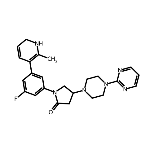 CC1=C(c2cc(F)cc(N3CC(N4CCN(c5ncccn5)CC4)CC3=O)c2)C=CCN1